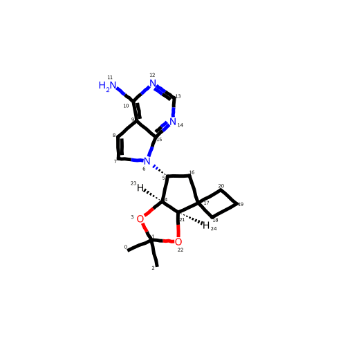 CC1(C)O[C@H]2[C@H](n3ccc4c(N)ncnc43)CC3(CCC3)[C@H]2O1